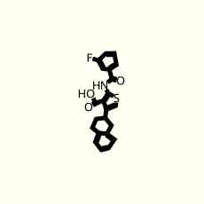 O=C(Nc1scc(C2CCc3ccccc3C2)c1C(=O)O)c1cccc(F)c1